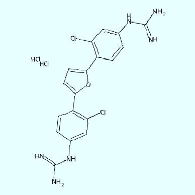 Cl.Cl.N=C(N)Nc1ccc(-c2ccc(-c3ccc(NC(=N)N)cc3Cl)o2)c(Cl)c1